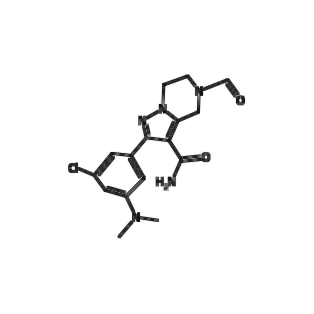 CN(C)c1cc(Cl)cc(-c2nn3c(c2C(N)=O)CN(C=O)CC3)c1